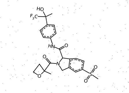 CC1(C(=O)N2Cc3cc(S(C)(=O)=O)ccc3C2C(=O)Nc2ccc(C(C)(O)C(F)(F)F)cc2)CCO1